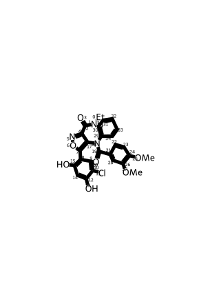 CCNC(=O)c1noc(-c2cc(Cl)c(O)cc2O)c1N(C(=O)c1ccc(OC)c(OC)c1)c1ccccc1